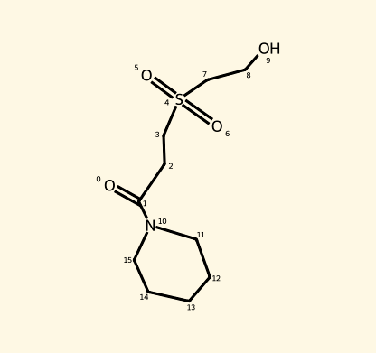 O=C(CCS(=O)(=O)CCO)N1CCCCC1